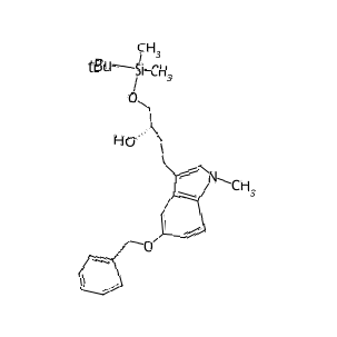 Cn1cc(CC[C@H](O)CO[Si](C)(C)C(C)(C)C)c2cc(OCc3ccccc3)ccc21